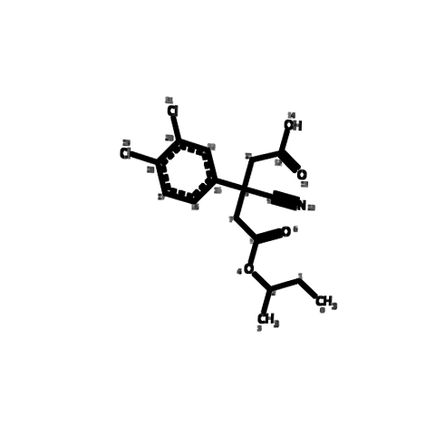 CCC(C)OC(=O)CC(C#N)(CC(=O)O)c1ccc(Cl)c(Cl)c1